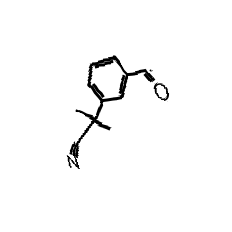 CC(C)(C#N)c1cccc([C]=O)c1